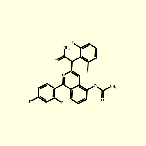 NC(=O)Oc1cccc2c(-c3ccc(F)cc3F)nc(C(C(N)=O)c3c(F)cccc3F)cc12